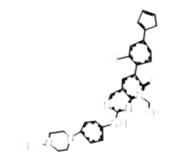 CCn1c(=O)c(-c2ccc(C3=CC=CC3)cc2Cl)cc2cnc(Nc3ccc(N4CCN(C)CC4)cc3)nc21